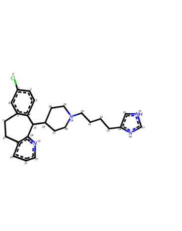 Clc1ccc2c(c1)CCc1cccnc1C2C1CCN(CCCCc2c[nH]cn2)CC1